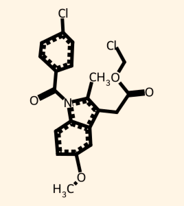 COc1ccc2c(c1)c(CC(=O)OCCl)c(C)n2C(=O)c1ccc(Cl)cc1